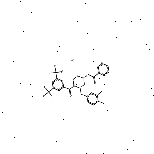 Cc1ccc(CC2CN(CC(=O)c3cccnc3)CCN2C(=O)c2cc(C(F)(F)F)cc(C(F)(F)F)c2)cc1C.Cl